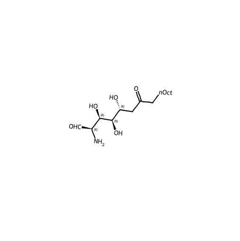 CCCCCCCCCC(=O)C[C@@H](O)[C@@H](O)[C@H](O)[C@@H](N)C=O